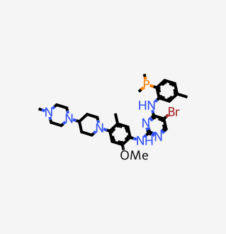 COc1cc(N2CCC(N3CCN(C)CC3)CC2)c(C)cc1Nc1ncc(Br)c(Nc2cc(C)ccc2P(C)C)n1